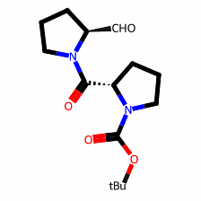 CC(C)(C)OC(=O)N1CCC[C@H]1C(=O)N1CCC[C@H]1C=O